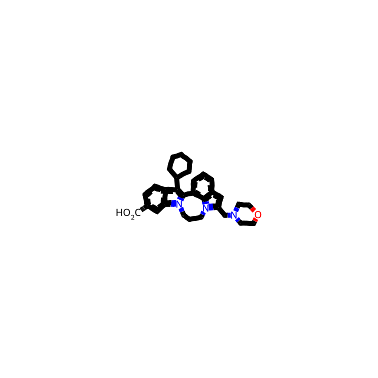 O=C(O)c1ccc2c(C3CCCCC3)c3n(c2c1)CCCn1c(CN2CCOCC2)cc2cccc-3c21